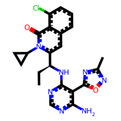 CC[C@H](Nc1ncnc(N)c1-c1nc(C)no1)c1cc2cccc(Cl)c2c(=O)n1C1CC1